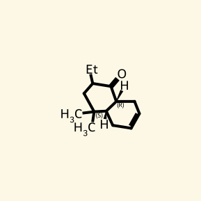 CCC1CC(C)(C)[C@H]2CC=CC[C@H]2C1=O